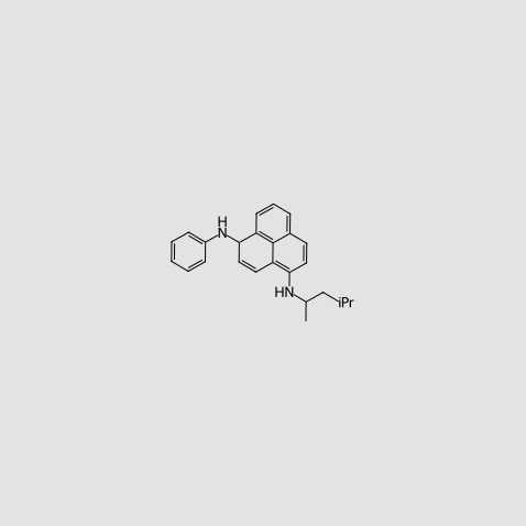 CC(C)CC(C)Nc1ccc2cccc3c2c1C=CC3Nc1ccccc1